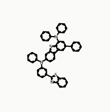 c1ccc(-c2cc(N(c3ccccc3)c3ccccc3)c3sc4cc(N(c5ccccc5)c5cccc(-c6nc7ccccc7s6)c5)ccc4c3c2)cc1